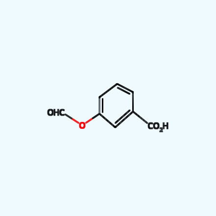 O=COc1cccc(C(=O)O)c1